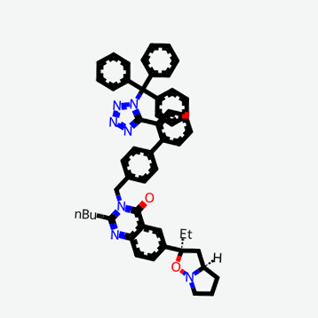 CCCCc1nc2ccc([C@@]3(CC)C[C@H]4CCCN4O3)cc2c(=O)n1Cc1ccc(-c2ccccc2-c2nnnn2C(c2ccccc2)(c2ccccc2)c2ccccc2)cc1